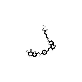 COC(=O)CCCCOc1ccc2ncc(F)c(CCC34CCC(NCc5ccc6c(n5)NC(=O)CO6)(CC3)CO4)c2n1